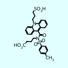 Cc1ccc(S(=O)(=O)N(CCCC(=O)O)C(=O)C2=C3CC=CC=C3N(CCCS(=O)(=O)O)c3ccccc32)cc1